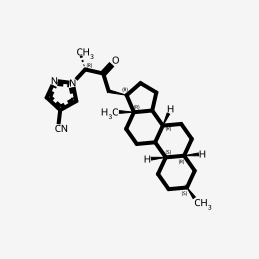 C[C@H]1CC[C@@H]2C3CC[C@@]4(C)C(CC[C@@H]4CC(=O)[C@@H](C)n4cc(C#N)cn4)[C@@H]3CC[C@@H]2C1